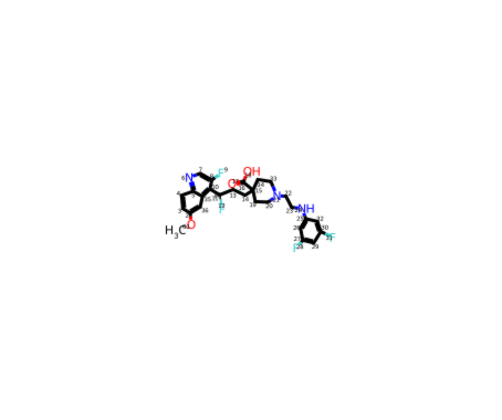 COc1ccc2ncc(F)c([C@H](F)CCC3(C(=O)O)CCN(CCNc4cc(F)cc(F)c4)CC3)c2c1